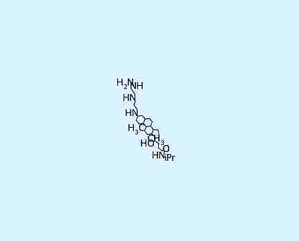 CC(C)NC(=O)CC[C@@H](O)[C@H]1CCC2C3CCC4C[C@@H](NCCCNCCNN)CC[C@]4(C)C3CC[C@@]21C